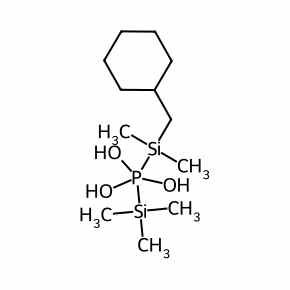 C[Si](C)(C)P(O)(O)(O)[Si](C)(C)CC1CCCCC1